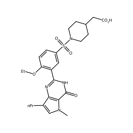 CCCc1cn(C)c2c(=O)[nH]c(-c3cc(S(=O)(=O)N4CCC(CC(=O)O)CC4)ccc3OCC)nc12